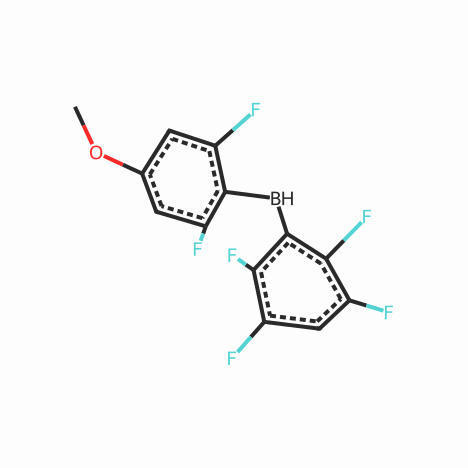 COc1cc(F)c(Bc2c(F)c(F)cc(F)c2F)c(F)c1